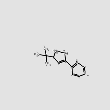 CC(C)(C)C1C=C(c2ccncn2)NN1